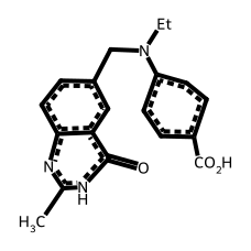 CCN(Cc1ccc2nc(C)[nH]c(=O)c2c1)c1ccc(C(=O)O)cc1